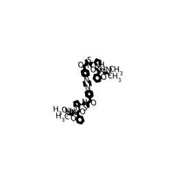 CN[C@@H](C)C(=O)N[C@H](C(=O)N1CCC[C@H]1c1nc(C(=O)c2ccc(N3CCN(c4ccc(C(=O)c5csc([C@@H]6CCCN6C(=O)[C@@H](NC(=O)[C@H](C)NC)C6CCCCC6)n5)cc4)CC3)cc2)cs1)C1CCCCC1